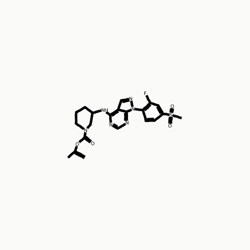 C=C(C)OC(=O)N1CCCC(Nc2ncnc3c2cnn3-c2ccc(S(C)(=O)=O)cc2F)C1